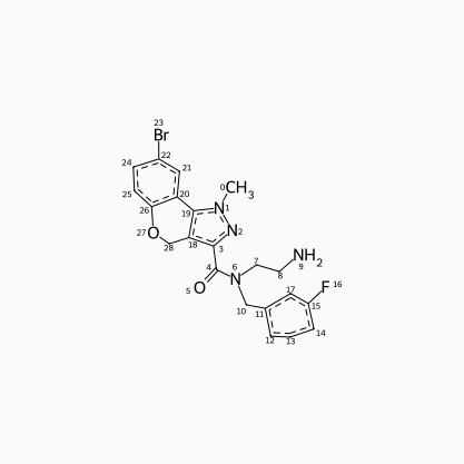 Cn1nc(C(=O)N(CCN)Cc2cccc(F)c2)c2c1-c1cc(Br)ccc1OC2